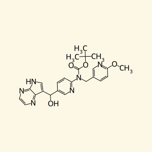 COc1ccc(CN(C(=O)OC(C)(C)C)c2ccc(C(O)c3c[nH]c4nccnc34)cn2)cn1